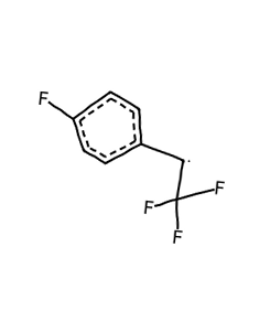 Fc1ccc([CH]C(F)(F)F)cc1